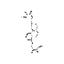 C=CC(=C)C(=C)CCN1CCC2CCC3C(=C2C1)C=CCN3CCC(=C)C(=C)C=C